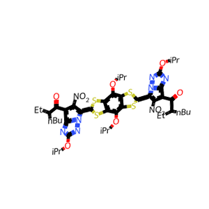 CCCCC(CC)C(=O)c1c([N+](=O)[O-])c(=C2Sc3c(OC(C)C)c4c(c(OC(C)C)c3S2)SC(=c2c([N+](=O)[O-])c(C(=O)C(CC)CCCC)c3nc(OC(C)C)nn23)S4)n2nc(OC(C)C)nc12